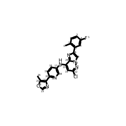 Cc1ccc(F)cc1-c1cn2nc(Cl)cc(Nc3ccc(-c4ncoc4C)nc3)c2n1